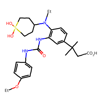 CCOc1ccc(NC(=O)Nc2cc(C(C)(C)CC(=O)O)ccc2N(CC)C2CCS(O)(O)CC2)cc1